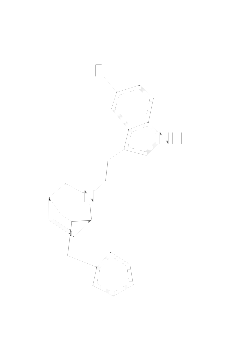 Fc1ccc2[nH]cc(CCN3CC4C=CC3C(Cc3ccccc3)C4)c2c1